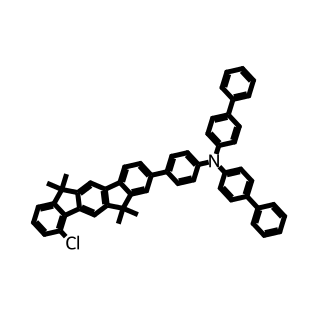 CC1(C)c2cc(-c3ccc(N(c4ccc(-c5ccccc5)cc4)c4ccc(-c5ccccc5)cc4)cc3)ccc2-c2cc3c(cc21)-c1c(Cl)cccc1C3(C)C